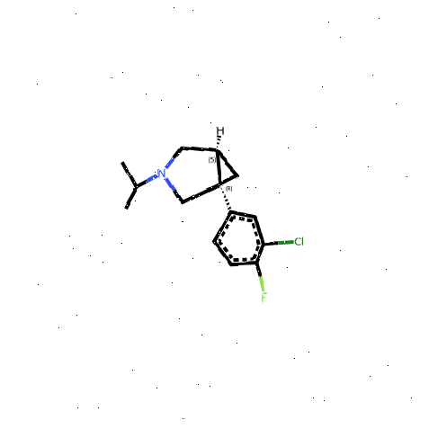 CC(C)N1C[C@H]2C[C@@]2(c2ccc(F)c(Cl)c2)C1